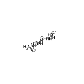 CCCCc1nc2c(N)nc3ccccc3c2n1Cc1ccc(CNC(=O)CCCC[C@H]2NC[C@H]3C[S+]([O-])C[C@H]32)cc1